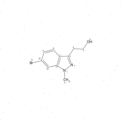 Cn1nc(CCO)c2ccc(Br)cc21